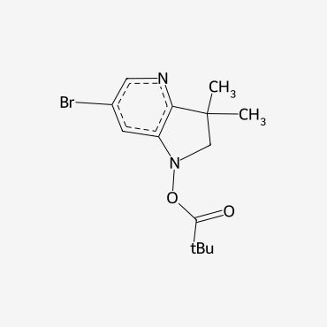 CC(C)(C)C(=O)ON1CC(C)(C)c2ncc(Br)cc21